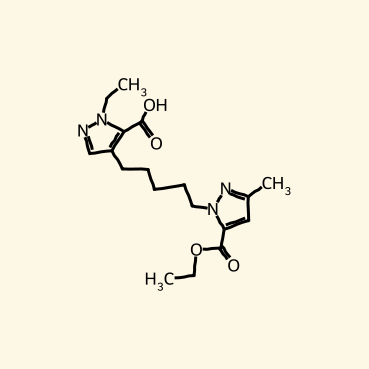 CCOC(=O)c1cc(C)nn1CCCCCc1cnn(CC)c1C(=O)O